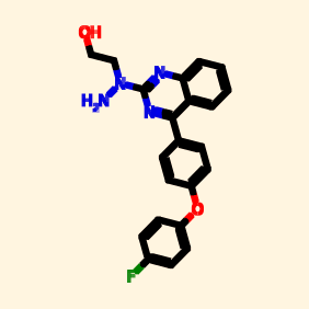 NN(CCO)c1nc(-c2ccc(Oc3ccc(F)cc3)cc2)c2ccccc2n1